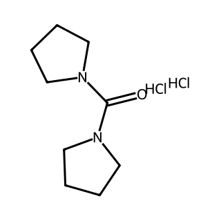 Cl.Cl.O=C(N1CCCC1)N1CCCC1